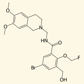 COc1cc2c(cc1OC)CN(CNC(=O)c1cc(Br)cc(CO)c1OCF)CC2